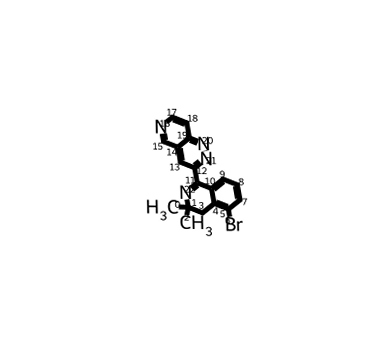 CC1(C)Cc2c(Br)cccc2C(c2cc3cnccc3nn2)=N1